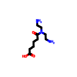 NCCN(CCN)C(=O)CCCCC(=O)O